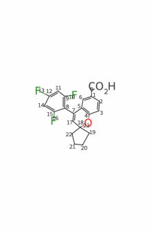 O=C(O)c1ccc2c(c1)C(c1c(F)cc(F)cc1F)=CC1(CCCC1)O2